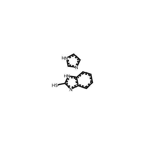 Sc1nc2ccccc2[nH]1.c1c[nH]cn1